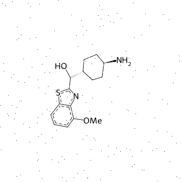 COc1cccc2sc(C(O)[C@H]3CC[C@H](N)CC3)nc12